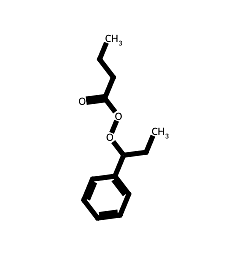 CCCC(=O)OOC(CC)c1ccccc1